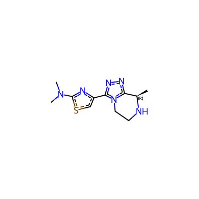 C[C@H]1NCCn2c(-c3csc(N(C)C)n3)nnc21